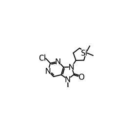 Cn1c(=O)n(C2CC[Si](C)(C)C2)c2nc(Cl)ncc21